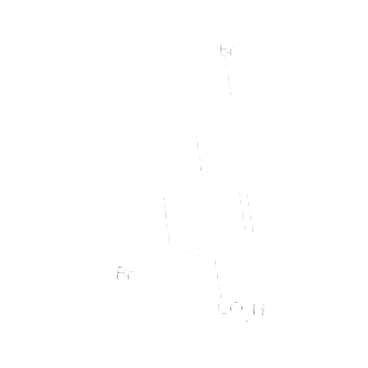 Cc1c(CCBr)ccc(C(=O)O)c1Br